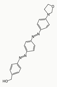 OCc1ccc(N=Nc2ccc(N=Nc3ccc(N4CCOC4)cc3)cc2)cc1